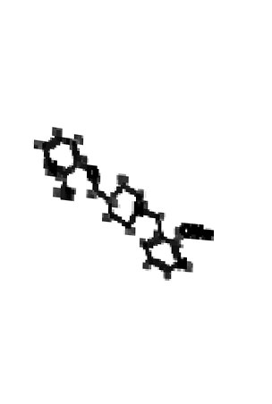 COc1ncccc1CN1CCC(COc2cccnc2Br)CC1